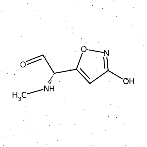 CN[C@H](C=O)c1cc(O)no1